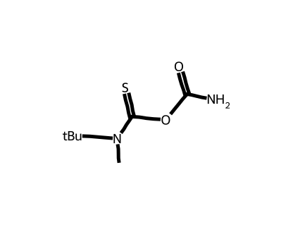 CN(C(=S)OC(N)=O)C(C)(C)C